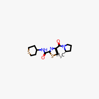 C[C@H]1CCCN1C(=O)c1csc(C(=O)NC2CCSCC2)n1